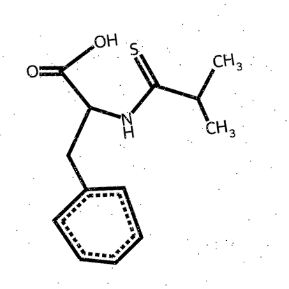 CC(C)C(=S)NC(Cc1ccccc1)C(=O)O